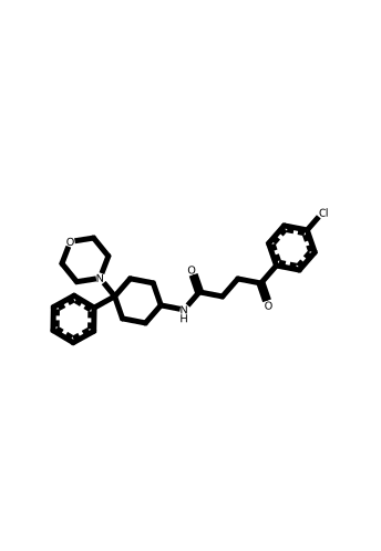 O=C(CCC(=O)c1ccc(Cl)cc1)NC1CCC(c2ccccc2)(N2CCOCC2)CC1